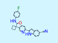 N#Cc1ccc2[nH]c(-c3ccc(C4(C(=O)Nc5ccc(F)cc5)CCC4)cn3)cc2c1